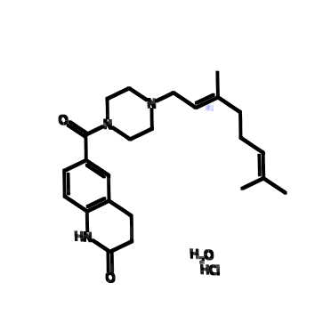 CC(C)=CCC/C(C)=C/CN1CCN(C(=O)c2ccc3c(c2)CCC(=O)N3)CC1.Cl.O